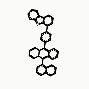 C1=CC2C(c3ccc(-c4cccc5c4oc4ccccc45)cc3)=c3ccccc3=C(c3cccc4ccccc34)C2C=C1